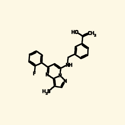 Bc1cnn2c(NCc3cccc(C(=C)O)c3)cc(-c3ccccc3F)nc12